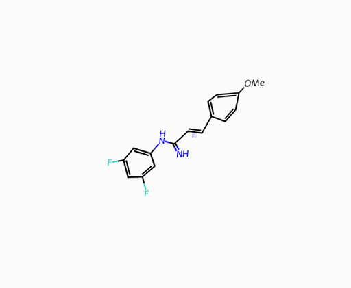 COc1ccc(/C=C/C(=N)Nc2cc(F)cc(F)c2)cc1